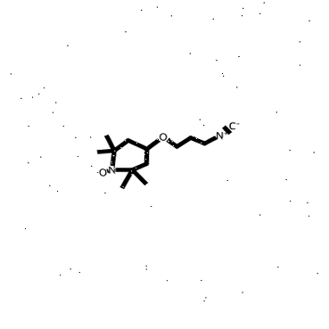 [C-]#[N+]CCCOC1CC(C)(C)N([O])C(C)(C)C1